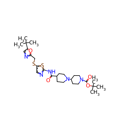 CC(C)(C)OC(=O)N1CCC(N2CCC(C(=O)Nc3ncc(SCc4ncc(C(C)(C)C)o4)s3)CC2)CC1